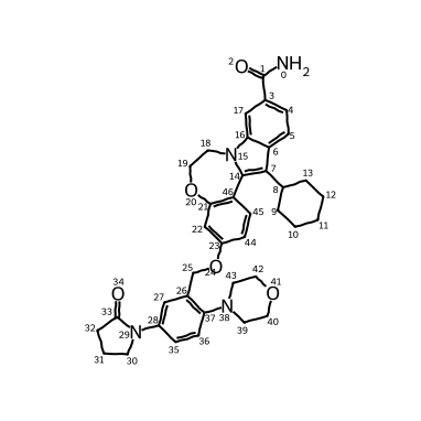 NC(=O)c1ccc2c(C3CCCCC3)c3n(c2c1)CCOc1cc(OCc2cc(N4CCCC4=O)ccc2N2CCOCC2)ccc1-3